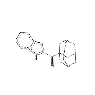 O=C(c1cc2ccccc2[nH]1)C12CC3CC(CC(C3)C1)C2